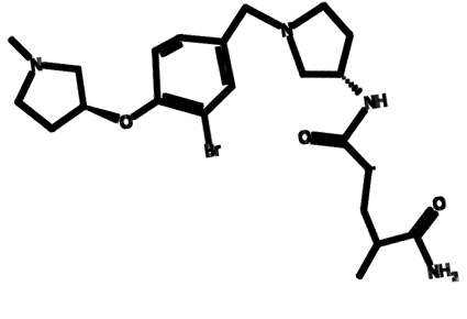 CC(C[CH]C(=O)N[C@H]1CCN(Cc2ccc(O[C@H]3CCN(C)C3)c(Br)c2)C1)C(N)=O